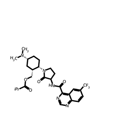 CC(C)C(=O)OC[C@@H]1C[C@H](N(C)C)CC[C@@H]1N1CCC(NC(=O)c2ncnc3ccc(C(F)(F)F)cc23)C1=O